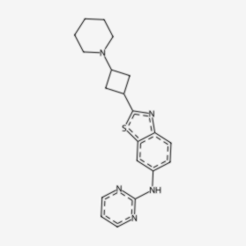 c1cnc(Nc2ccc3nc(C4CC(N5CCCCC5)C4)sc3c2)nc1